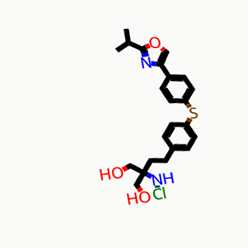 CC(C)c1nc(-c2ccc(Sc3ccc(CCC(CO)(CO)NCl)cc3)cc2)co1